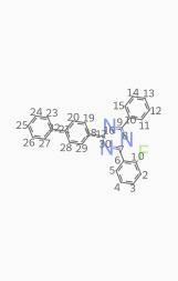 Fc1ccccc1-c1nc(-c2ccccc2)nc(-c2ccc(-c3ccccc3)cc2)n1